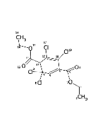 CCOC(=O)C1=CC(Cl)(Cl)C(C(=O)OCC)C(Cl)=C1Cl